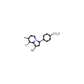 Cc1ccn2c(-c3ccc(C(=O)O)cc3)cc(C#N)c2c1Cl